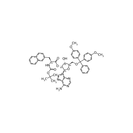 COc1ccc(C(OC[C@H]2O[C@@H](n3cnc4c(N)ncnc43)[C@H](OC(=O)[C@H](Cc3ccc4ccccc4c3)NC(=O)OC(C)(C)C)[C@@H]2O)(c2ccccc2)c2ccc(OC)cc2)cc1